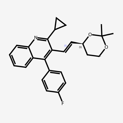 CC1(C)O[CH]C[C@@H](/C=C/c2c(C3CC3)nc3ccccc3c2-c2ccc(F)cc2)O1